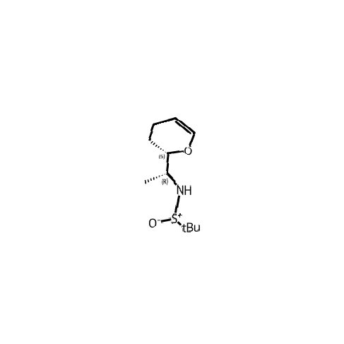 C[C@@H](N[S+]([O-])C(C)(C)C)[C@@H]1CCC=CO1